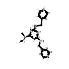 CON(C)c1nc(NCc2ccncc2)nc(NCc2ccncc2)n1